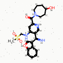 CS(=O)(=O)CNc1cc(C(=O)N2CCCC(O)CC2)ncc1C(=N)c1coc2ccccc12